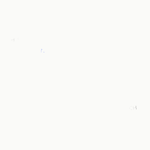 CCCCCCCCCCCCCCCCCCc1cc[n+](CCCCC)cc1